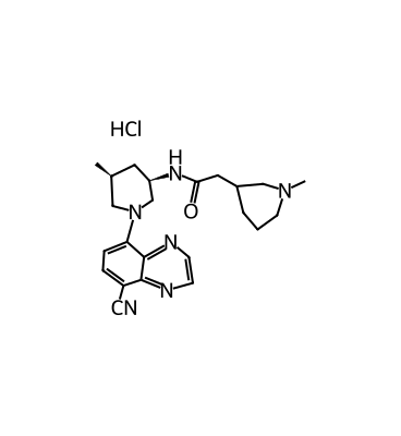 C[C@H]1C[C@@H](NC(=O)CC2CCCN(C)C2)CN(c2ccc(C#N)c3nccnc23)C1.Cl